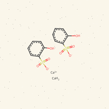 O=S(=O)([O-])c1ccccc1O.O=S(=O)([O-])c1ccccc1O.[Ca+2].[CaH2]